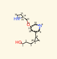 OCCC[C@@H]1CC1c1cncc(OC[C@@H]2CCN2)c1